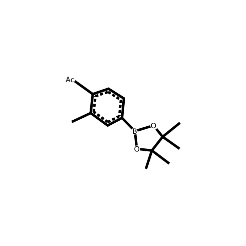 CC(=O)c1ccc(B2OC(C)(C)C(C)(C)O2)cc1C